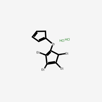 CCC1=C(CC)C(CC)[C]([Zr][C]2=CC=CC2)=C1CC.Cl.Cl